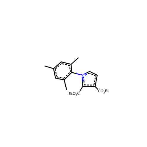 CCOC(=O)c1ccn(-c2c(C)cc(C)cc2C)c1C(=O)OCC